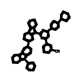 N#Cc1cccc(-c2cc(-c3ccc(-c4ccccc4)cc3)nc(-n3c4ccccc4c4ccc(-c5ccc6c(c5)c5ccccc5n6-c5ccccc5)cc43)n2)c1